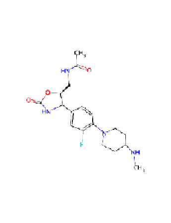 CNC1CCN(c2ccc(C3NC(=O)O[C@H]3CNC(C)=O)cc2F)CC1